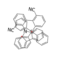 N#Cc1cccc([Si](c2ccccc2)(c2ccccc2)c2ccccc2)c1-c1cccc(C#N)c1-n1c2ccccc2c2ccccc21